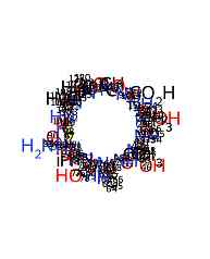 CCCC[C@H]1C(=O)N(C)CC(=O)N[C@@H](CC(=O)O)C(=O)N[C@@H](Cc2ccc(O)cc2)C(=O)N(C)[C@@H](Cc2ccccc2)C(=O)N[C@@H](Cc2ccc(O)cc2)C(=O)N(C)CC(=O)N[C@@H](Cc2c[nH]c3ccccc23)C(=O)N[C@@H](Cc2ccc(O)cc2)C(=O)N[C@@H](CC(C)C)C(=O)N[C@H](C(=O)NCC(N)=O)CSCC(=O)N[C@@H](Cc2ccccc2)C(=O)N(C)[C@@H](Cc2ccccc2)C(=O)N1C